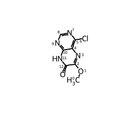 COc1nc2c(Cl)ncnc2[nH]c1=O